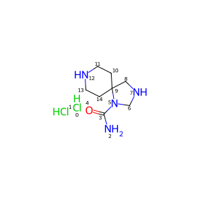 Cl.Cl.NC(=O)N1CNCC12CCNCC2